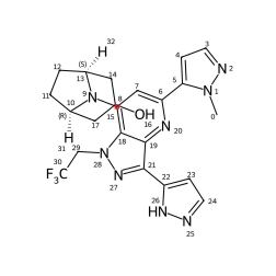 Cn1nccc1-c1cc(N2[C@@H]3CC[C@H]2CC(O)C3)c2c(n1)c(-c1ccn[nH]1)nn2CC(F)(F)F